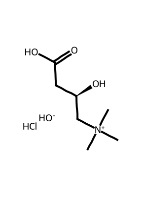 C[N+](C)(C)C[C@H](O)CC(=O)O.Cl.[OH-]